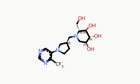 OC[C@@H]1[C@@H](O)[C@H](O)[C@@H](O)CN1C[C@H]1CCN(c2cncnc2C(F)(F)F)C1